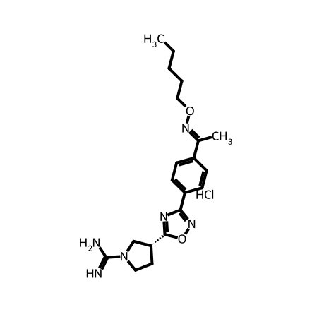 CCCCCON=C(C)c1ccc(-c2noc([C@@H]3CCN(C(=N)N)C3)n2)cc1.Cl